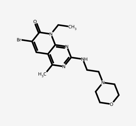 CCn1c(=O)c(Br)cc2c(C)nc(NCCN3CCOCC3)nc21